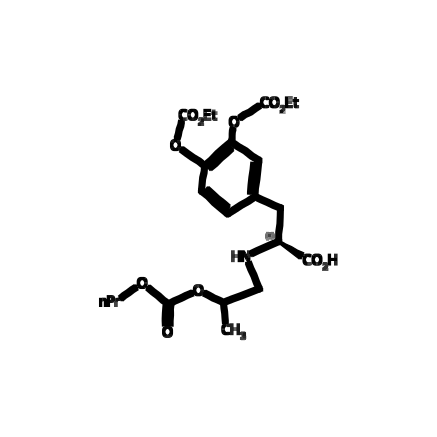 CCCOC(=O)OC(C)CN[C@@H](Cc1ccc(OC(=O)OCC)c(OC(=O)OCC)c1)C(=O)O